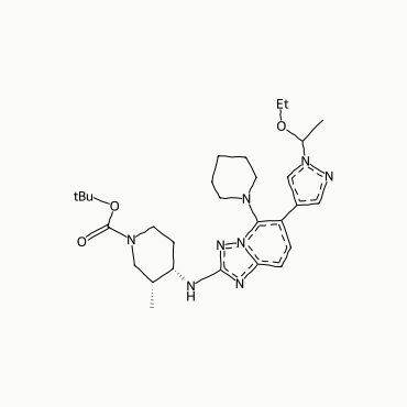 CCOC(C)n1cc(-c2ccc3nc(N[C@H]4CCN(C(=O)OC(C)(C)C)C[C@H]4C)nn3c2N2CCCCC2)cn1